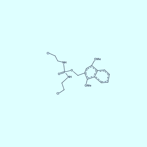 COc1cc(COP(=O)(NCCCl)NCCCl)c(OC)c2ccccc12